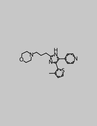 Cc1ccsc1-c1nc(CCCN2CCOCC2)[nH]c1-c1ccncc1